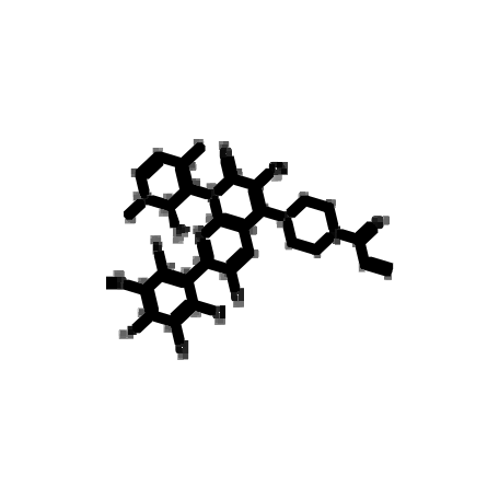 C=CC(=O)N1CCN(c2c(C#N)c(=O)n(C3=C(C)C=CN(C)[C@@H]3C(C)C)c3nc(-c4c(F)c(O)c(F)c(Cl)c4Cl)c(Cl)cc23)CC1